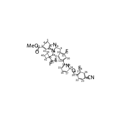 COC(=O)c1ccc2nc(Cc3ccc(-c4cccc(OCc5ccc(C#N)cc5F)n4)cc3F)n(CC3(C(F)F)CCC3)c2c1